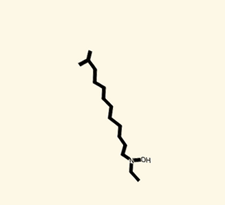 CCN(O)CCCCCCCCCCC(C)C